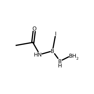 BBB(I)NC(C)=O